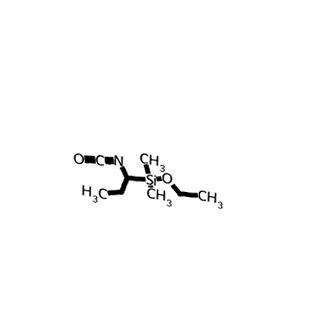 CCO[Si](C)(C)C(CC)N=C=O